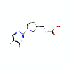 CC(C)(C)OC(=O)NCC1CCN(c2ncc(C#N)c(Cl)n2)C1